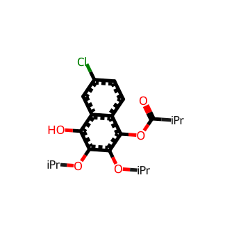 CC(C)Oc1c(OC(C)C)c(OC(=O)C(C)C)c2ccc(Cl)cc2c1O